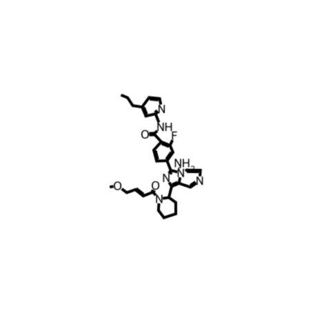 CCCc1ccnc(NC(=O)c2ccc(C3=NC(C4CCCCN4C(=O)/C=C/COC)=C4C=NC=C[N+]34N)cc2F)c1